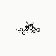 CCOC(=O)c1cc(-c2cnc(Cl)cc2OC)n(CC)n1